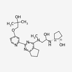 CN(CC(O)N[C@@H]1CCC[C@@H]1O)c1nc(-c2cc(OCC(C)(C)O)ccn2)nc2c1CCC2